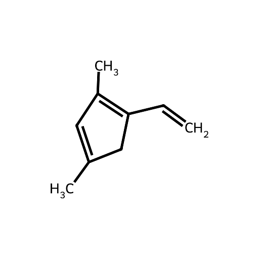 C=CC1=C(C)C=C(C)C1